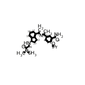 C=C(/N=C(\C)c1ccc(OC(C)C)c(C(N)=O)c1)c1cccc2c1CC[C@@H]2NCC(=O)N(C)C